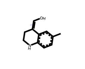 Cc1ccc2c(c1)/C(=C\O)CCN2